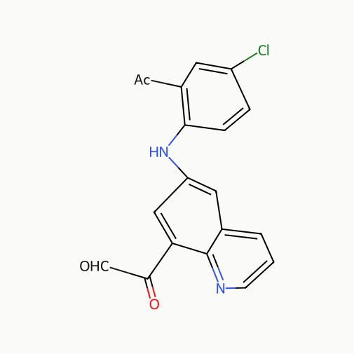 CC(=O)c1cc(Cl)ccc1Nc1cc(C(=O)C=O)c2ncccc2c1